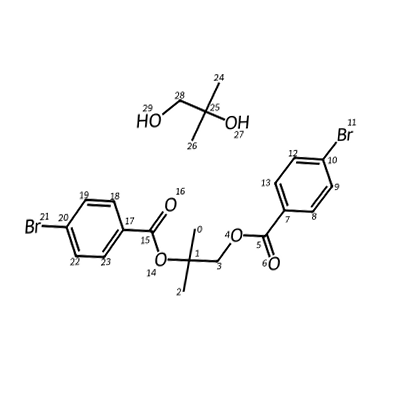 CC(C)(COC(=O)c1ccc(Br)cc1)OC(=O)c1ccc(Br)cc1.CC(C)(O)CO